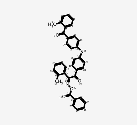 Cc1ccccc1C(=O)c1ccc(Sc2ccc(C(=O)/C(=N\OC(=O)c3ccccc3)c3ccccc3C)cc2)cc1